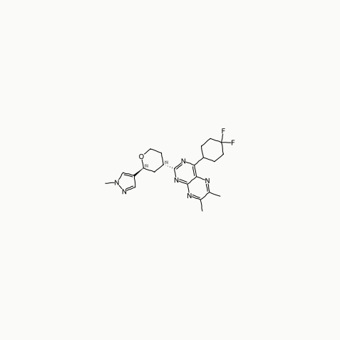 Cc1nc2nc([C@H]3CCO[C@H](c4cnn(C)c4)C3)nc(C3CCC(F)(F)CC3)c2nc1C